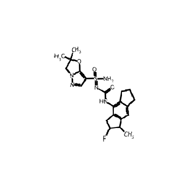 CC1c2cc3c(c(NC(=O)N=S(N)(=O)c4cnn5c4OC(C)(C)C5)c2CC1F)CCC3